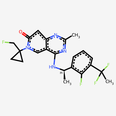 Cc1nc(N[C@H](C)c2cccc(C(C)(F)F)c2F)c2cn(C3(CF)CC3)c(=O)cc2n1